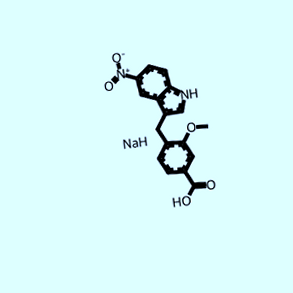 COc1cc(C(=O)O)ccc1Cc1c[nH]c2ccc([N+](=O)[O-])cc12.[NaH]